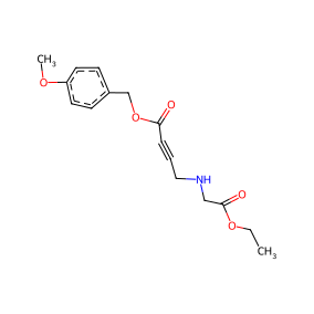 CCOC(=O)CNCC#CC(=O)OCc1ccc(OC)cc1